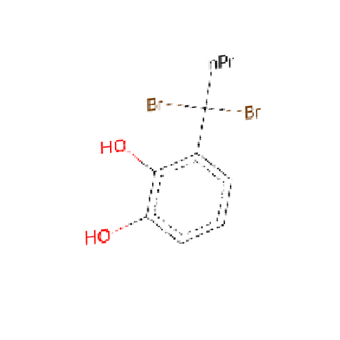 CCCC(Br)(Br)c1cccc(O)c1O